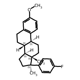 COc1ccc2c(c1)CC[C@@H]1[C@@H]2CC[C@@]2(C)[C@H]1CC[C@]2(C)c1ccc(F)cc1